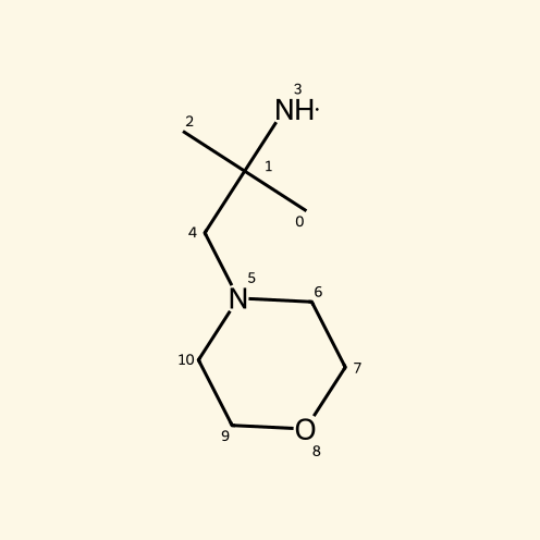 CC(C)([NH])CN1CCOCC1